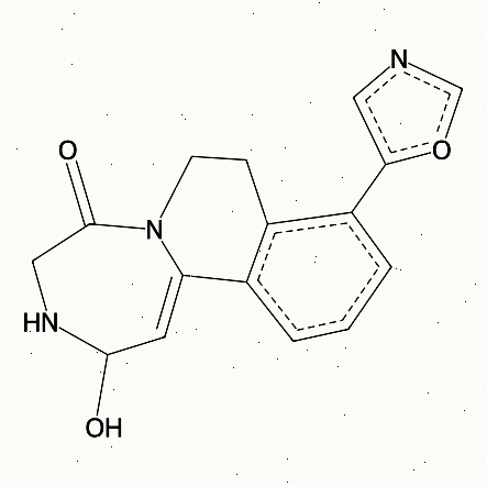 O=C1CNC(O)C=C2c3cccc(-c4cnco4)c3CCN12